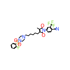 CC1=C(CCCCCCN2CCN(S(=O)(=O)c3ccccc3F)CC2)C(=O)N(c2ccc(C#N)c(C(F)(F)F)c2)C1=O